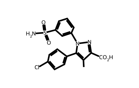 Cc1c(C(=O)O)nn(-c2cccc(S(N)(=O)=O)c2)c1-c1ccc(Cl)cc1